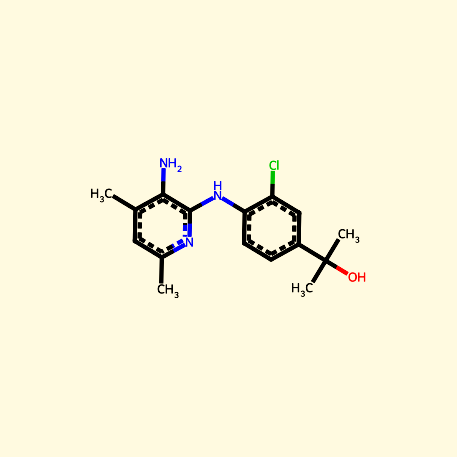 Cc1cc(C)c(N)c(Nc2ccc(C(C)(C)O)cc2Cl)n1